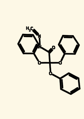 C=NNC(=O)C(Oc1ccccc1)(Oc1ccccc1)Oc1ccccc1